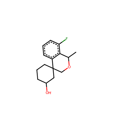 CC1OCC2(CCCC(O)C2)c2cccc(F)c21